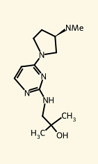 CN[C@@H]1CCN(c2ccnc(NCC(C)(C)O)n2)C1